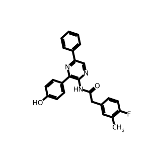 Cc1cc(CC(=O)Nc2ncc(-c3ccccc3)nc2-c2ccc(O)cc2)ccc1F